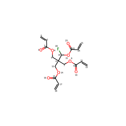 C=CC(=O)OCC(COC(=O)C=C)(COC(=O)C=C)C(F)OC(=O)C=C